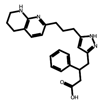 O=C(O)CC(Cc1cc(CCCc2ccc3c(n2)NCCC3)[nH]n1)c1ccccc1